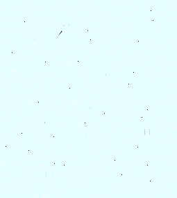 COc1ccc(C2=C(c3ccc(OC)cc3)CC3C(CC[C@H]3O)C2)cc1